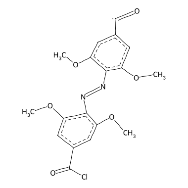 COc1cc([C]=O)cc(OC)c1/N=N/c1c(OC)cc(C(=O)Cl)cc1OC